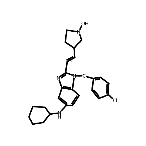 ON1CCC(/C=C/c2nc3cc(NC4CCCCC4)ccc3n2Cc2ccc(Cl)cc2)C1